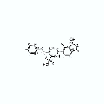 Cc1c(C(=O)N[C@H](C(=O)OCc2ccccn2)C(C)(C)O)ccc2c1B(O)OC2